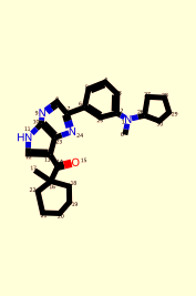 CN(c1cccc(-c2cnc3[nH]cc(C(=O)C4(C)CCCCC4)c3n2)c1)C1CCCC1